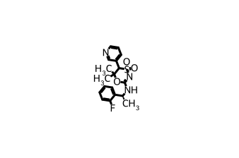 C[C@H](NC1=NS(=O)(=O)C(c2cccnc2)C(C)(C)O1)c1ccccc1F